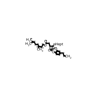 C=CCc1ccc(OC(=O)OC(CCCCCCC)CCC(=O)OCC=C(C)CCC=C(C)C)c(OC)c1